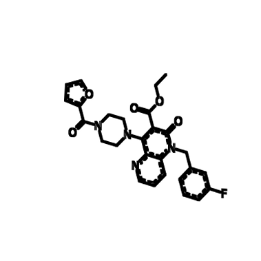 CCOC(=O)c1c(N2CCN(C(=O)c3ccco3)CC2)c2ncccc2n(Cc2cccc(F)c2)c1=O